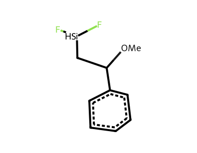 COC(C[SiH](F)F)c1ccccc1